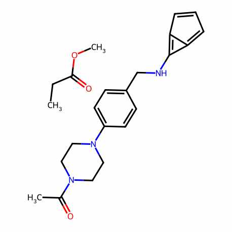 CC(=O)N1CCN(c2ccc(CNc3c4cccc3-4)cc2)CC1.CCC(=O)OC